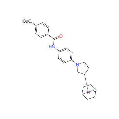 CC(C)COc1ccc(C(=O)Nc2ccc(N3CCC(N4CC5CCC(CC5)C4)C3)cc2)cc1